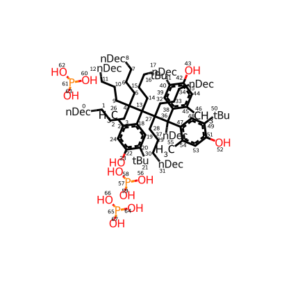 CCCCCCCCCCCCCC(CCCCCCCCCCCCC)(CCCCCCCCCCCCC)C(CCCCCCCCCCCCC)(c1cc(C(C)(C)C)c(O)cc1C)C(CCCCCCCCCCCCC)(CCCCCCCCCCCCC)C(CCCCCCCCCC)(c1cc(C(C)(C)C)c(O)cc1C)c1cc(C(C)(C)C)c(O)cc1C.OP(O)O.OP(O)O.OP(O)O